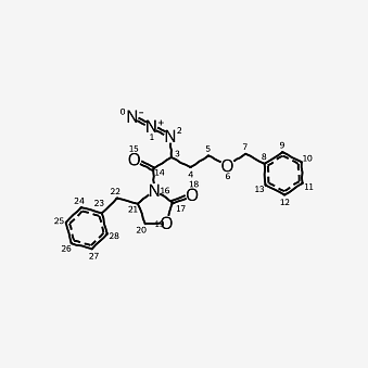 [N-]=[N+]=NC(CCOCc1ccccc1)C(=O)N1C(=O)OCC1Cc1ccccc1